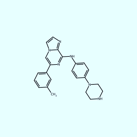 Cc1cccc(-c2cn3ccnc3c(Nc3ccc(N4CCNCC4)cc3)n2)c1